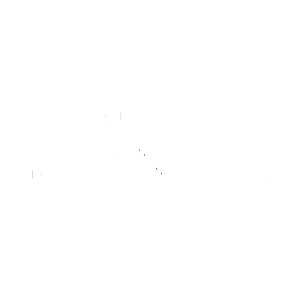 Cc1cc(C)c(NN=C(CC2=CC=CC2)c2ccccc2)c(C)c1